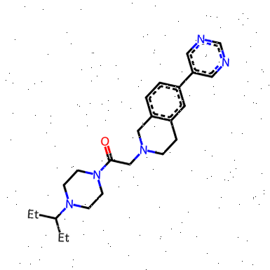 CCC(CC)N1CCN(C(=O)CN2CCc3cc(-c4cncnc4)ccc3C2)CC1